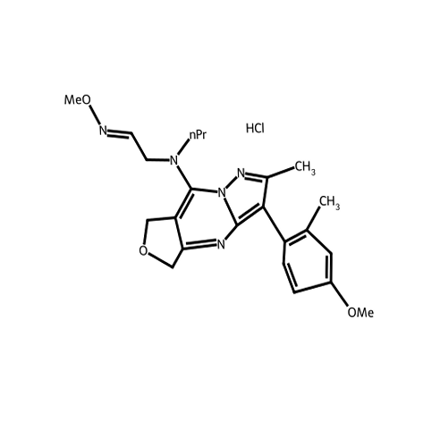 CCCN(CC=NOC)c1c2c(nc3c(-c4ccc(OC)cc4C)c(C)nn13)COC2.Cl